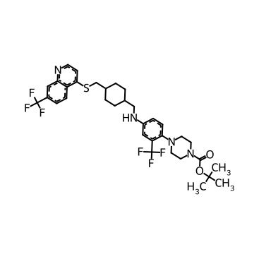 CC(C)(C)OC(=O)N1CCN(c2ccc(NCC3CCC(CSc4ccnc5cc(C(F)(F)F)ccc45)CC3)cc2C(F)(F)F)CC1